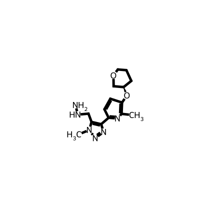 Cc1nc(-c2nnn(C)c2CNN)ccc1O[C@@H]1CCCOC1